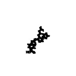 CN(C)CCCn1c(Sc2nc3ccc(C(=O)O)cc3s2)nnc1-c1cccs1